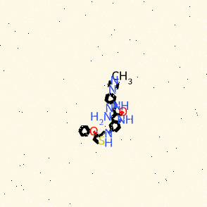 CN1CCN(c2ccc3nc(-c4c(N)c5cc(NCc6sccc6Oc6ccccc6)ccc5[nH]c4=O)[nH]c3c2)CC1